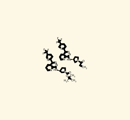 C=CC(=O)N1CC[C@H](Nc2nnc(-c3ccc(C(F)(F)F)cn3)c3cccnc23)C1.CC(C)(C)OC(=O)N1CC[C@H](Nc2nnc(-c3ccc(C(F)(F)F)cn3)c3cccnc23)C1